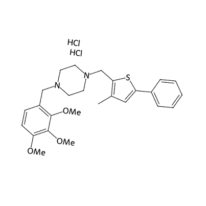 COc1ccc(CN2CCN(Cc3sc(-c4ccccc4)cc3C)CC2)c(OC)c1OC.Cl.Cl